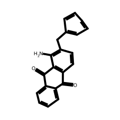 Nc1c(Cc2ccccc2)ccc2c1C(=O)c1ccccc1C2=O